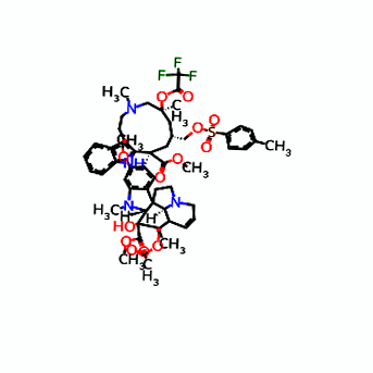 CC[C@]12C=CCN3CCC4(c5cc([C@@]6(C(=O)OC)C[C@@H](COS(=O)(=O)c7ccc(C)cc7)C[C@](C)(OC(=O)C(F)(F)F)CN(C)CCc7c6[nH]c6ccccc76)c(OC)cc5N(C)[C@H]4C(O)(C(=O)OC)[C@@H]1OC(C)=O)[C@@H]32